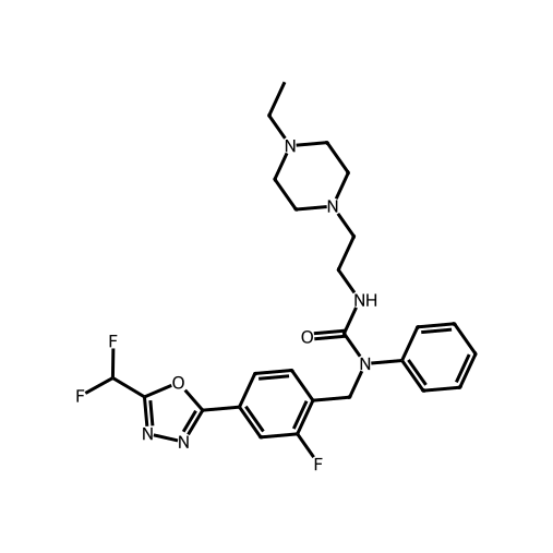 CCN1CCN(CCNC(=O)N(Cc2ccc(-c3nnc(C(F)F)o3)cc2F)c2ccccc2)CC1